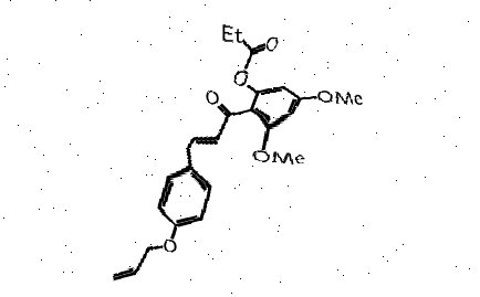 C=CCOc1ccc(/C=C/C(=O)c2c(OC)cc(OC)cc2OC(=O)CC)cc1